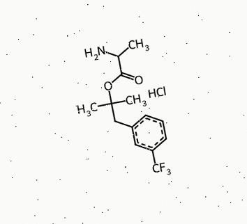 CC(N)C(=O)OC(C)(C)Cc1cccc(C(F)(F)F)c1.Cl